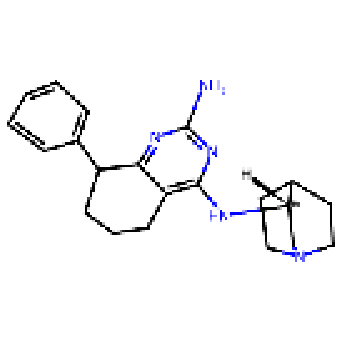 Nc1nc(N[C@H]2CN3CCC2CC3)c2c(n1)C(c1ccccc1)CCC2